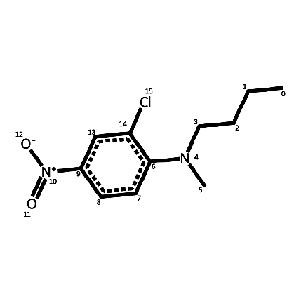 CCCCN(C)c1ccc([N+](=O)[O-])cc1Cl